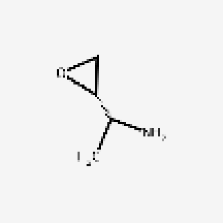 CC(N)[C@H]1CO1